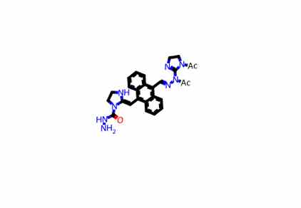 CC(=O)N1CCN=C1N(N=Cc1c2ccccc2c(C=C2NCCN2C(=O)NN)c2ccccc12)C(C)=O